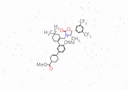 COC(=O)C1CC=C(c2ccc(OC)c(C3=C(CN4C(=O)O[C@H](c5cc(C(F)(F)F)cc(C(F)(F)F)c5)[C@@H]4C)CC(C)(C)CC3)c2)CC1